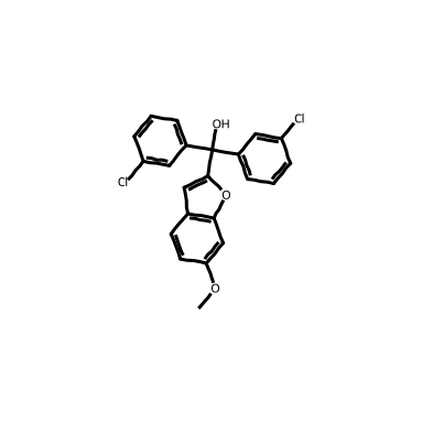 COc1ccc2cc(C(O)(c3cccc(Cl)c3)c3cccc(Cl)c3)oc2c1